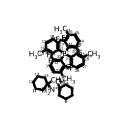 CC1([NH2+]C2(C)CCCCC2)CCCCC1.Cc1ccc(F)c([B-](c2c(F)ccc(C)c2F)(c2c(F)ccc(C)c2F)c2c(F)ccc(C)c2F)c1F